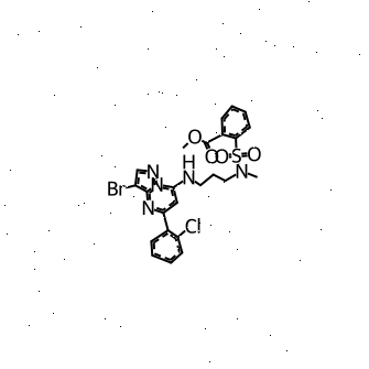 COC(=O)c1ccccc1S(=O)(=O)N(C)CCCNc1cc(-c2ccccc2Cl)nc2c(Br)cnn12